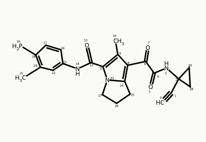 C#CC1(NC(=O)C(=O)c2c(C)c(C(=O)Nc3ccc(P)c(C)c3)n3c2CCC3)CC1